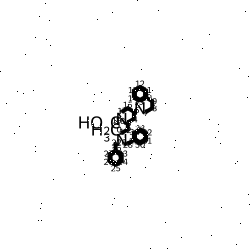 CC(CC1CC(N2CCCc3ccccc32)CCN1C(=O)O)N(Cc1ccccc1)Cc1ccccc1